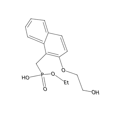 CCOP(=O)(O)Cc1c(OCCO)ccc2ccccc12